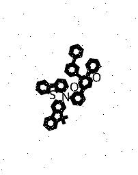 CC1(C)c2ccccc2-c2ccc(N(c3cccc4c3oc3c(-c5cccc(-c6ccccc6)c5)c5c(cc34)oc3ccccc35)c3cccc4c3sc3ccccc34)cc21